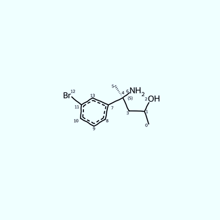 CC(O)C[C@](C)(N)c1cccc(Br)c1